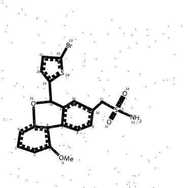 COc1cccc2c1-c1ccc(CS(N)(=O)=O)cc1C(c1ccc(Br)s1)O2